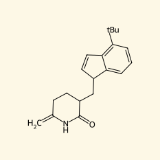 C=C1CCC(CC2C=Cc3c2cccc3C(C)(C)C)C(=O)N1